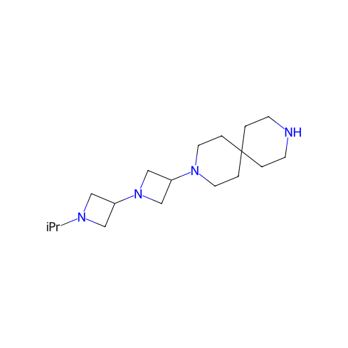 CC(C)N1CC(N2CC(N3CCC4(CCNCC4)CC3)C2)C1